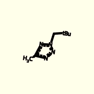 Cc1nnn(CC(C)(C)C)n1